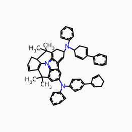 CC1(C)C2=C3C(CC=C2)C(C)(C)C2=c4c(c5cc(N(c6ccccc6)c6ccc(C7=CCCC=C7)cc6)cc1c5n43)=CC(N(c1ccccc1)C1C=CC(c3ccccc3)=CC1)C2